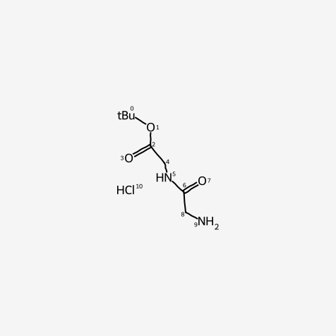 CC(C)(C)OC(=O)CNC(=O)CN.Cl